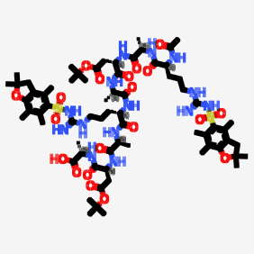 CC(=O)N[C@@H](CCCNC(=N)NS(=O)(=O)c1c(C)c(C)c2c(c1C)CC(C)(C)O2)C(=O)N[C@@H](C)C(=O)N[C@@H](CC(=O)OC(C)(C)C)C(=O)N[C@@H](C)C(=O)N[C@@H](CCCNC(=N)NS(=O)(=O)c1c(C)c(C)c2c(c1C)CC(C)(C)O2)C(=O)N[C@@H](C)C(=O)N[C@@H](CC(=O)OC(C)(C)C)C(=O)N[C@@H](C)C(=O)O